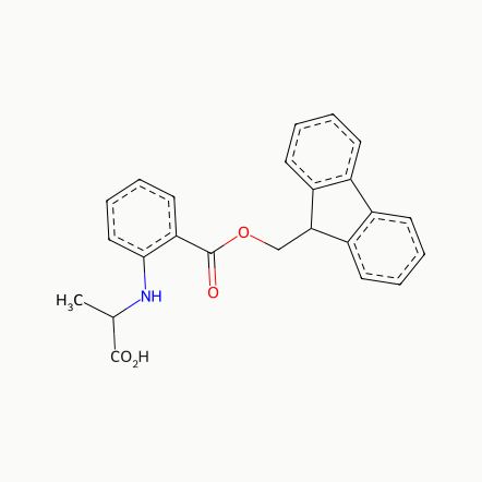 CC(Nc1ccccc1C(=O)OCC1c2ccccc2-c2ccccc21)C(=O)O